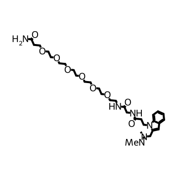 CNN(C)Cc1cc2ccccc2n1CCC(=O)NCC(=O)NCCOCCOCCOCCOCCOCCOCCC(N)=O